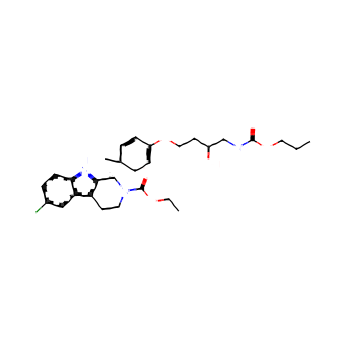 CCCOC(=O)NCC(O)CCOC1=CCC(C)([C@H]2c3[nH]c4ccc(Cl)cc4c3CCN2C(=O)OCC)C=C1